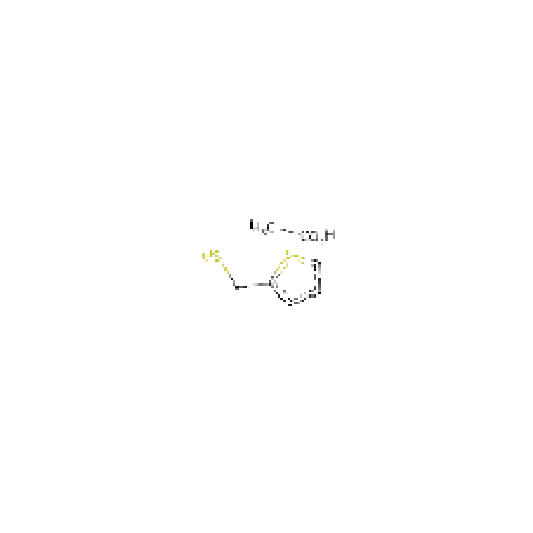 CC(=O)O.SCc1cccs1